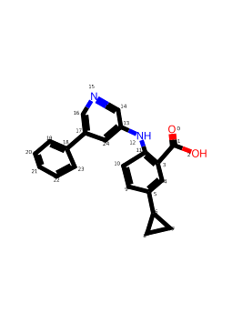 O=C(O)c1cc(C2CC2)ccc1Nc1cncc(-c2ccccc2)c1